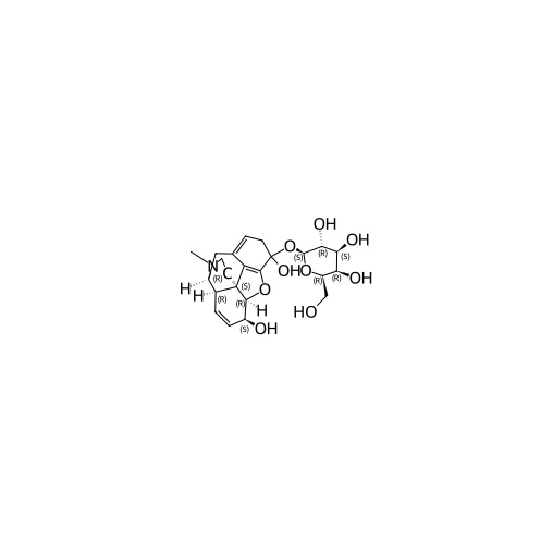 CN1CC[C@]23C4=C5O[C@H]2[C@@H](O)C=C[C@H]3[C@H]1CC4=CCC5(O)O[C@@H]1O[C@H](CO)[C@H](O)[C@H](O)[C@H]1O